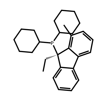 CC[C@@]1(P(C2CCCCC2)C2CCCCC2)c2ccccc2-c2cccc(C)c21